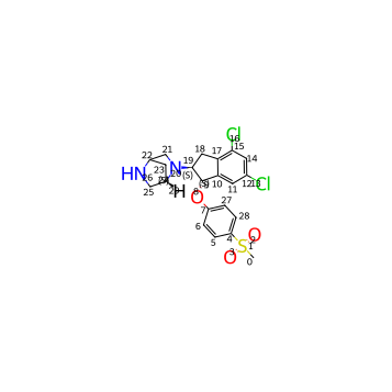 CS(=O)(=O)c1ccc(O[C@H]2c3cc(Cl)cc(Cl)c3C[C@@H]2N2CC3C[C@H]2CN3)cc1